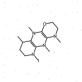 CC1CCN(I)C2=C1N(C)C1=C(N(C)CCO1)N2C